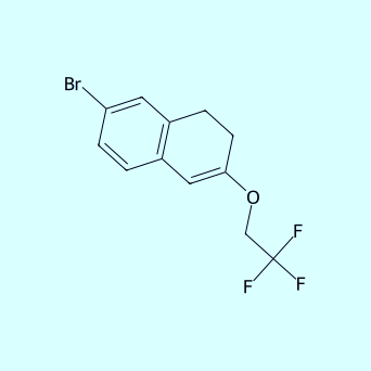 FC(F)(F)COC1=Cc2ccc(Br)cc2CC1